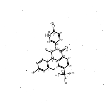 Cc1cc(F)ccc1N1c2cc(C(F)(F)F)ccc2C(=O)N(c2ccc(=O)[nH]c2)C1C